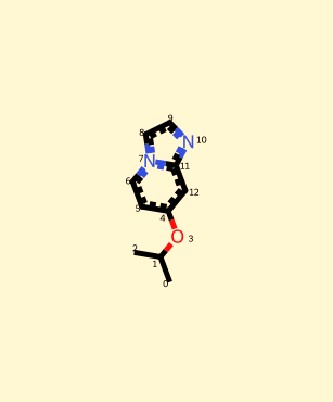 CC(C)Oc1ccn2ccnc2c1